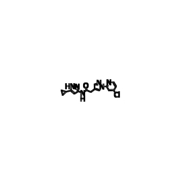 O=C(Cc1cnn(-c2cc(Cl)ccn2)c1)Nc1cc(C2CC2)[nH]n1